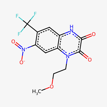 COCCn1c(=O)c(=O)[nH]c2cc(C(F)(F)F)c([N+](=O)[O-])cc21